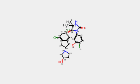 CC1(C)NC(=O)N(c2ccc(F)c(O[C@H]3c4cc(Cl)cc(Cl)c4C[C@H]3N3CC[C@@H](O)C3)c2)C1=O